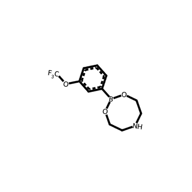 FC(F)(F)Oc1cccc(B2OCCNCCO2)c1